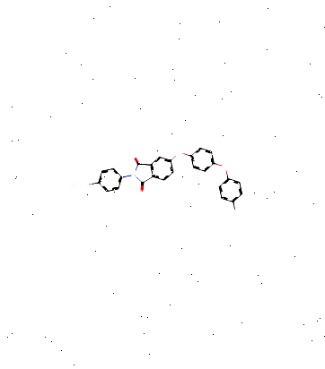 COc1ccc(N2C(=O)c3ccc(Oc4ccc(Oc5ccc(C(=O)O)cc5)cc4)cc3C2=O)cc1